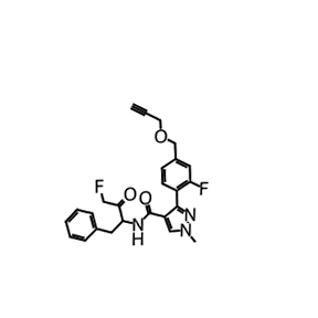 C#CCOCc1ccc(-c2nn(C)cc2C(=O)NC(Cc2ccccc2)C(=O)CF)c(F)c1